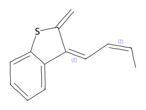 C=c1sc2ccccc2/c1=C/C=C\C